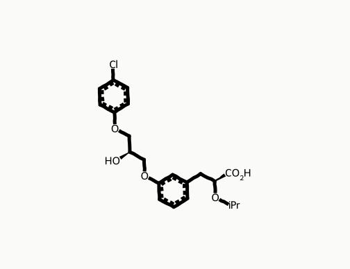 CC(C)O[C@@H](Cc1cccc(OC[C@@H](O)COc2ccc(Cl)cc2)c1)C(=O)O